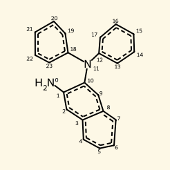 Nc1cc2ccccc2cc1N(c1ccccc1)c1ccccc1